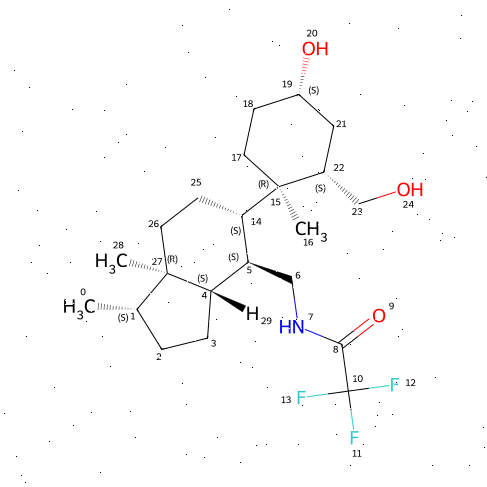 C[C@H]1CC[C@H]2[C@H](CNC(=O)C(F)(F)F)[C@@H]([C@@]3(C)CC[C@H](O)C[C@@H]3CO)CC[C@]12C